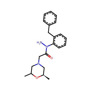 CC1CN(CC(=O)N(N)c2ccccc2Cc2ccccc2)C[C@@H](C)O1